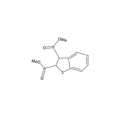 COC(=O)C1Sc2ccccc2C1C(=O)OC